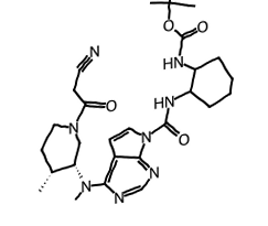 C[C@@H]1CCN(C(=O)CC#N)C[C@@H]1N(C)c1ncnc2c1ccn2C(=O)NC1CCCCC1NC(=O)OC(C)(C)C